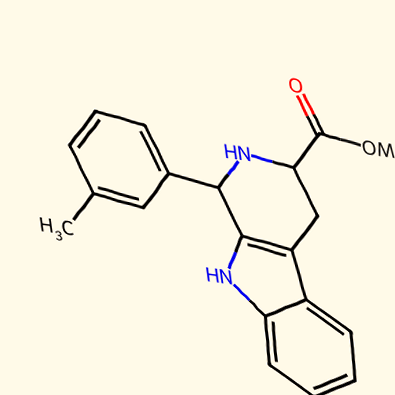 COC(=O)C1Cc2c([nH]c3ccccc23)C(c2cccc(C)c2)N1